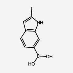 Cc1cc2ccc(B(O)O)cc2[nH]1